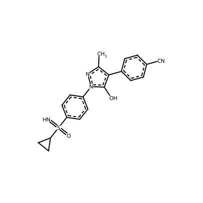 Cc1nn(-c2ccc(S(=N)(=O)C3CC3)cc2)c(O)c1-c1ccc(C#N)cc1